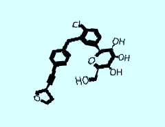 OC[C@H]1O[C@@H](c2ccc(Cl)c(Cc3ccc(C#C[C@H]4CCOC4)cc3)c2)[C@H](O)[C@@H](O)[C@@H]1O